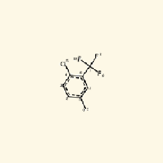 [CH]c1ccc(Cl)c(C(F)(F)F)c1